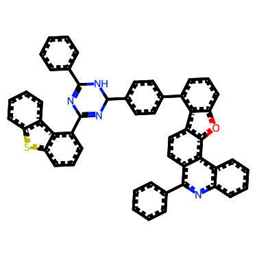 c1ccc(C2=NC(c3cccc4sc5ccccc5c34)=NC(c3ccc(-c4cccc5oc6c(ccc7c(-c8ccccc8)nc8ccccc8c76)c45)cc3)N2)cc1